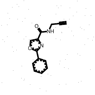 C#CCNC(=O)c1coc(-c2ccccc2)n1